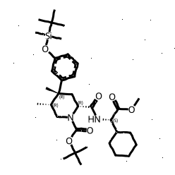 COC(=O)[C@@H](NC(=O)[C@H]1C[C@@](C)(c2cccc(O[Si](C)(C)C(C)(C)C)c2)[C@@H](C)CN1C(=O)OC(C)(C)C)C1CCCCC1